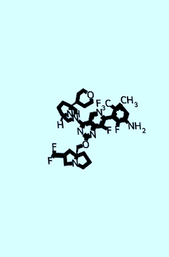 Cc1cc(N)c(F)c(-c2ncc3c(N4C[C@@H]5CC[C@](C6CCOCC6)(C4)N5)nc(OC[C@@]45CCCN4CC(=C(F)F)C5)nc3c2F)c1C(F)(F)F